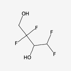 OCC(F)(F)C(O)C(F)F